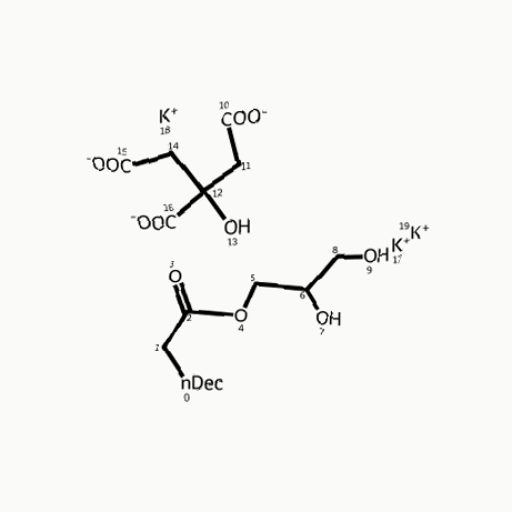 CCCCCCCCCCCC(=O)OCC(O)CO.O=C([O-])CC(O)(CC(=O)[O-])C(=O)[O-].[K+].[K+].[K+]